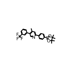 Cc1cc(-c2ccc(B3OC(C)(C)C(C)(C)O3)cc2)ncc1-c1cccc(C(F)(F)F)c1